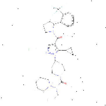 CCN(C(=O)N1CCC(n2ncc(C(=O)N3CCCC3c3ccccc3C(F)(F)F)c2C2CC2)CC1)N1CCCCC1.Cl